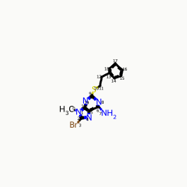 Cn1c(Br)nc2c(N)nc(SCCc3ccccc3)nc21